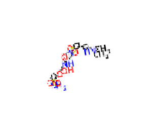 CC(C)NCc1ccc(-c2cccc(S(=O)(=O)N3CCC4(CC3)C[C@@H](NC[C@H](O)COc3cccc(S(N)(=O)=O)c3)CO4)c2)cc1